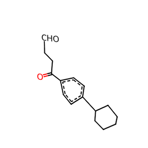 O=CCCC(=O)c1ccc(C2CCCCC2)cc1